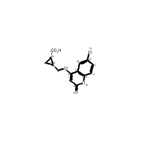 O=C(O)[C@H]1C[C@@H]1COc1cc(=O)oc2ccc(Cl)cc12